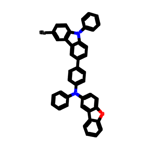 CC(C)(C)c1ccc2c(c1)c1cc(-c3ccc(N(c4ccccc4)c4ccc5oc6ccccc6c5c4)cc3)ccc1n2-c1ccccc1